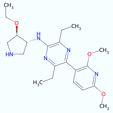 CCO[C@@H]1CNC[C@H]1Nc1nc(CC)c(-c2ccc(OC)nc2OC)nc1CC